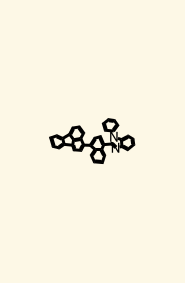 c1ccc(-n2c(-c3ccc(-c4ccc5c6c(cccc46)-c4ccccc4-5)c4ccccc34)nc3ccccc32)cc1